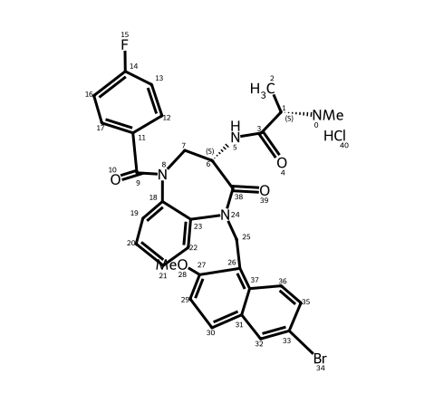 CN[C@@H](C)C(=O)N[C@H]1CN(C(=O)c2ccc(F)cc2)c2ccccc2N(Cc2c(OC)ccc3cc(Br)ccc23)C1=O.Cl